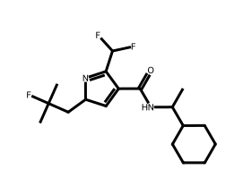 CC(NC(=O)C1=CC(CC(C)(C)F)N=C1C(F)F)C1CCCCC1